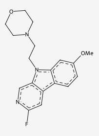 COc1ccc2c3cc(F)ncc3n(CCN3CCOCC3)c2c1